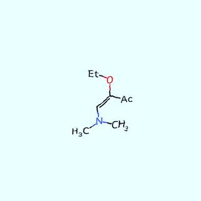 CCOC(=CN(C)C)C(C)=O